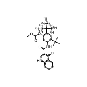 [2H]C([2H])([2H])C(c1cc(C(C)(C)C)c(NC(=O)c2c[nH]c3ccccc3c2=O)cc1OC(=O)OC)(C([2H])([2H])[2H])C([2H])([2H])[2H]